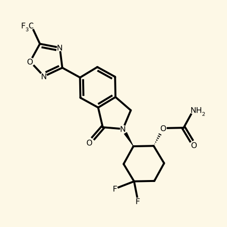 NC(=O)O[C@@H]1CCC(F)(F)C[C@H]1N1Cc2ccc(-c3noc(C(F)(F)F)n3)cc2C1=O